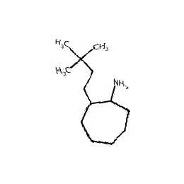 CC(C)(C)CCC1CCCCCC1N